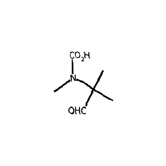 CN(C(=O)O)C(C)(C)C=O